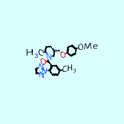 COc1ccc(OC[C@@H]2CC[C@H](C)N(C(=O)c3cc(C)ccc3-n3nccn3)C2)cc1